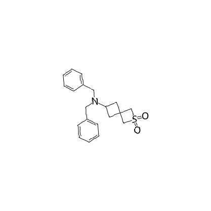 O=S1(=O)CC2(CC(N(Cc3ccccc3)Cc3ccccc3)C2)C1